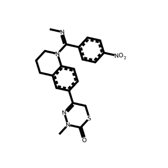 C/N=C(/c1ccc([N+](=O)[O-])cc1)N1CCCc2cc(C3=NN(C)C(=O)SC3)ccc21